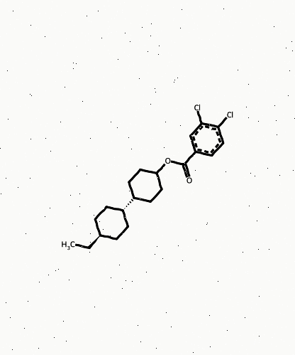 CC[C@H]1CC[C@H](C2CCC(OC(=O)c3ccc(Cl)c(Cl)c3)CC2)CC1